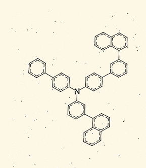 c1ccc(-c2ccc(N(c3ccc(-c4cccc(-c5cccc6ccccc56)c4)cc3)c3cccc(-c4cccc5ccccc45)c3)cc2)cc1